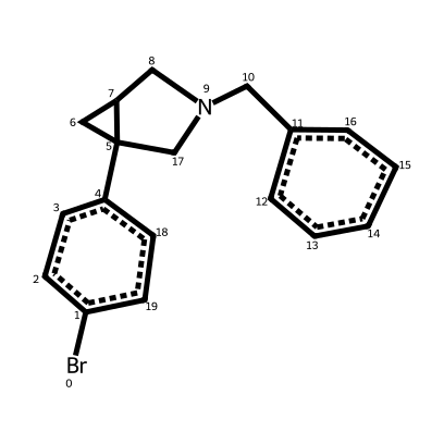 Brc1ccc(C23CC2CN(Cc2ccccc2)C3)cc1